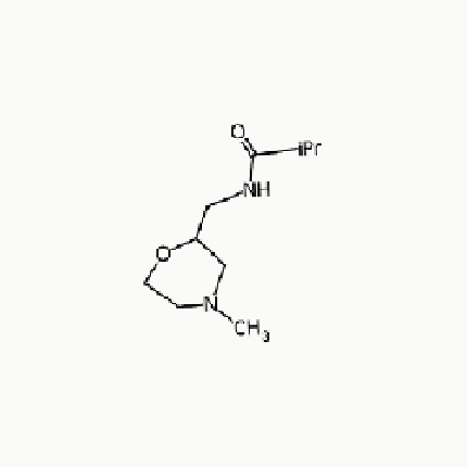 CC(C)C(=O)NCC1CN(C)CCO1